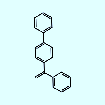 S=C(c1ccccc1)c1ccc(-c2ccccc2)cc1